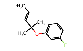 [CH2]C=CC(C)(C)Oc1cccc(F)c1